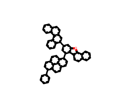 c1ccc(-c2ccc3ccc4c(-c5cc(-c6cc7ccc8ccccc8c7c7ccccc67)cc6oc7c8ccccc8ccc7c56)ccc5ccc2c3c54)cc1